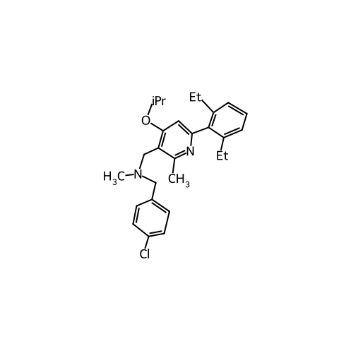 CCc1cccc(CC)c1-c1cc(OC(C)C)c(CN(C)Cc2ccc(Cl)cc2)c(C)n1